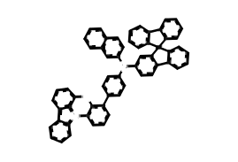 c1ccc2c(c1)-c1ccccc1C21c2ccccc2-c2ccc(N(c3ccc(-c4cccc5c4Oc4cccc6c7ccccc7n-5c46)cc3)c3ccc4ccccc4c3)cc21